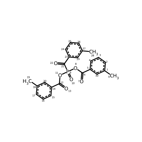 Cc1cccc(C(=O)OP(=O)(OC(=O)c2cccc(C)c2)C(=O)c2cccc(C)c2)c1